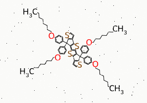 CCCCCCCCOc1ccc(C2(c3ccc(OCCCCCCCC)cc3)c3sccc3-c3sc4c5c(sc4c32)-c2ccsc2C5(c2ccc(OCCCCCCCC)cc2)c2ccc(OCCCCCCCC)cc2)cc1